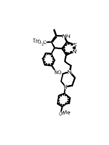 CCOC(=O)C1=C(C)Nc2snc(CCN3CCN(c4ccc(OC)cc4)CC3)c2C1c1cccc([N+](=O)[O-])c1